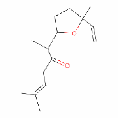 C=CC1(C)CCC(C(C)C(=O)CC=C(C)C)O1